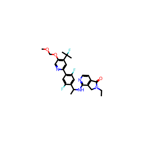 CCN1Cc2c(ccnc2NC(C)c2cc(F)c(-c3cc(C(C)(C)F)c(OCOC)cn3)cc2F)C1=O